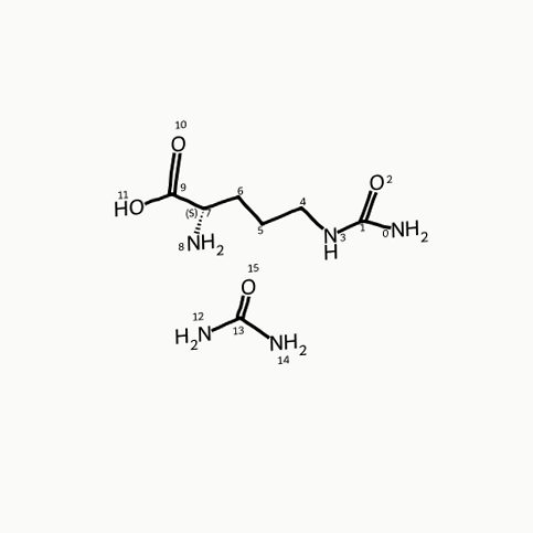 NC(=O)NCCC[C@H](N)C(=O)O.NC(N)=O